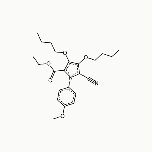 CCCCOc1c(OCCCC)c(C(=O)OCC)n(-c2ccc(OC)cc2)c1C#N